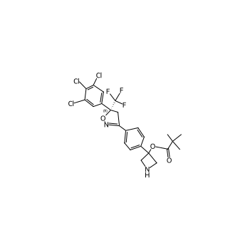 CC(C)(C)C(=O)OC1(c2ccc(C3=NO[C@](c4cc(Cl)c(Cl)c(Cl)c4)(C(F)(F)F)C3)cc2)CNC1